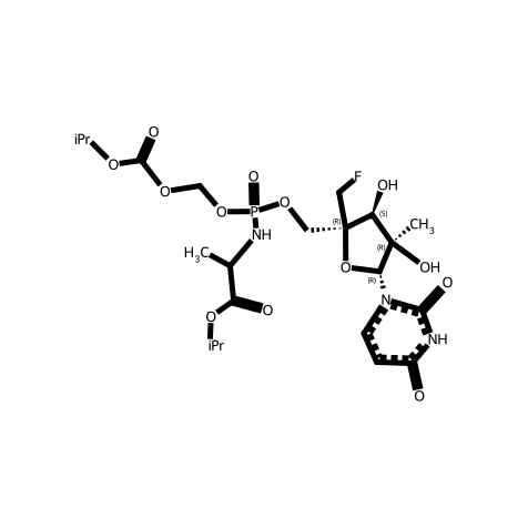 CC(C)OC(=O)OCOP(=O)(NC(C)C(=O)OC(C)C)OC[C@@]1(CF)O[C@@H](n2ccc(=O)[nH]c2=O)[C@](C)(O)[C@@H]1O